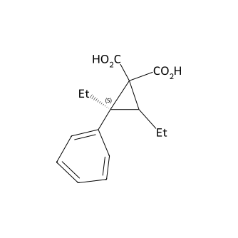 CCC1C(C(=O)O)(C(=O)O)[C@]1(CC)c1ccccc1